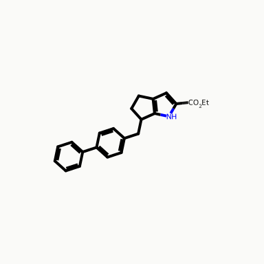 CCOC(=O)c1cc2c([nH]1)C(Cc1ccc(-c3ccccc3)cc1)CC2